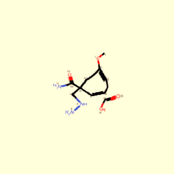 COC1=CC=CC(CNN)(C(N)=O)C1.O=CO